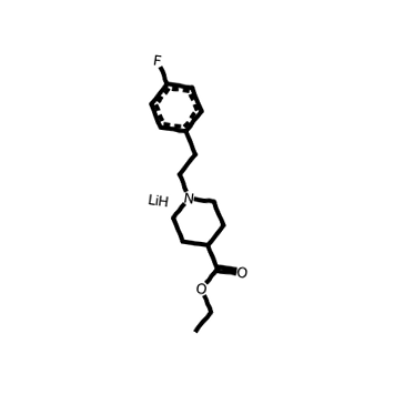 CCOC(=O)C1CCN(CCc2ccc(F)cc2)CC1.[LiH]